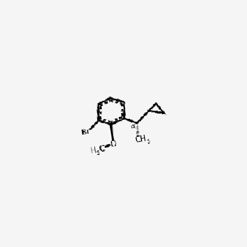 COc1c(Br)cccc1[C@@H](C)C1CC1